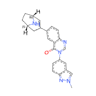 Cn1cc2cc(-n3cnc4ccc(C5=C[C@H]6CC[C@@H](C5)N6)cc4c3=O)ccc2n1